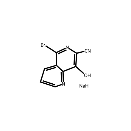 N#Cc1nc(Br)c2cccnc2c1O.[NaH]